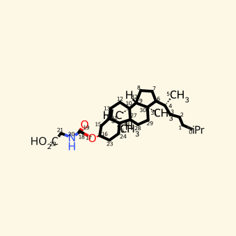 CC(C)CCC[C@@H](C)C1CC[C@H]2[C@]3(C)CC=C4C[C@@H](OC(=O)NCC(=O)O)CC[C@]4(C)[C@H]3CC[C@]12C